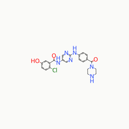 O=C(Nc1cnc(Nc2ccc(C(=O)N3CCNCC3)cc2)nc1)c1cc(O)ccc1Cl